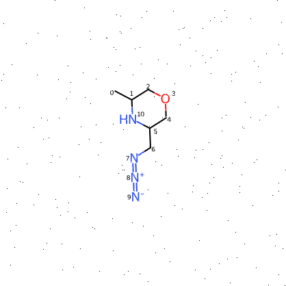 CC1COCC(CN=[N+]=[N-])N1